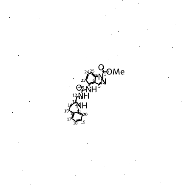 COC(=O)n1ncc2c(NC(=O)NCC3CCc4ccccc4N3)cccc21